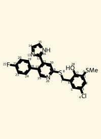 CSc1cc(Cl)cc(CSc2cc(-c3ncc[nH]3)c(-c3ccc(F)cc3)cn2)c1O